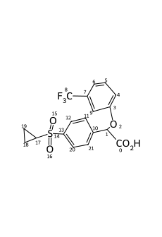 O=C(O)C(Oc1cccc(C(F)(F)F)c1)c1ccc(S(=O)(=O)C2CC2)cc1